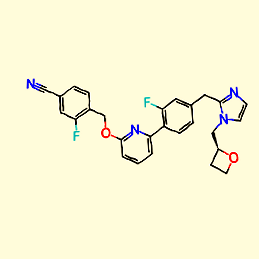 N#Cc1ccc(COc2cccc(-c3ccc(Cc4nccn4C[C@@H]4CCO4)cc3F)n2)c(F)c1